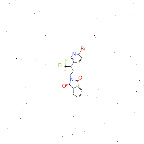 O=C1c2ccccc2C(=O)N1CCC(c1ccc(Br)nc1)C(F)(F)F